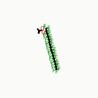 C=C(C)C(=O)OC(F)(C(F)(F)F)C(F)(F)C(F)(F)C(F)(F)C(F)(F)C(F)(F)C(F)(F)C(F)(F)C(F)(F)C(F)(F)C(F)(F)C(F)(F)C(F)(F)C(F)(F)C(F)(F)F